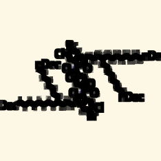 CCCCCCCCCCCCCCCCCCC(CCCCCCCCCCCCCCCCCC)CCCN1C(=O)/C(=C2/C(=O)Oc3cc4c(cc32)OC(=O)/C4=C2/C(=O)N(CCCC(CCCCCCCCCCCCCCCCCC)CCCCCCCCCCCCCCCCCC)c3cc(Br)c(Cl)cc32)c2cc(Cl)c(Br)cc21